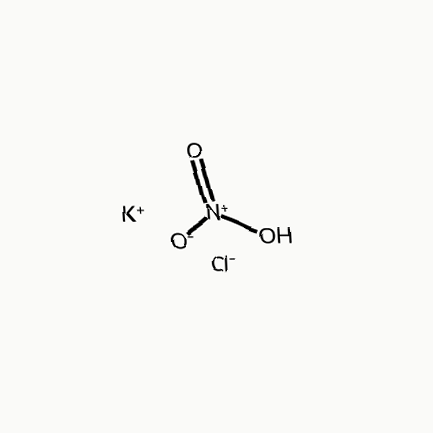 O=[N+]([O-])O.[Cl-].[K+]